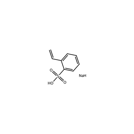 C=Cc1ccccc1S(=O)(=O)O.[NaH]